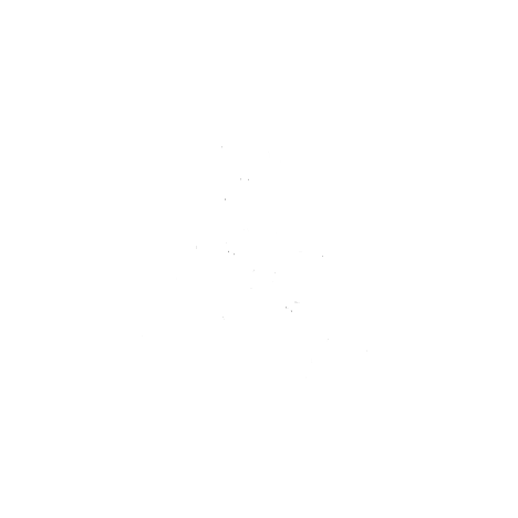 CC[C@@H]1CCN(C(=O)OC(C)(C)C)[C@H](C(=O)Nc2c(C)cccc2C)C1